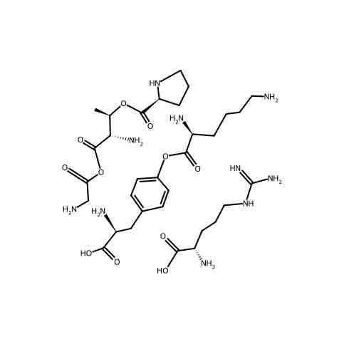 C[C@@H](OC(=O)[C@@H]1CCCN1)[C@H](N)C(=O)OC(=O)CN.N=C(N)NCCC[C@H](N)C(=O)O.NCCCC[C@H](N)C(=O)Oc1ccc(C[C@H](N)C(=O)O)cc1